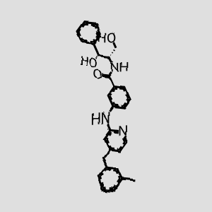 Cc1cccc(Cc2ccnc(Nc3cccc(C(=O)N[C@@H](CO)[C@H](O)c4ccccc4)c3)c2)c1